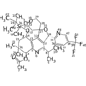 CC(=O)O[C@@H]1c2nc(C(C)C)c3c(c2C(O[Si](C)(C)C(C)(C)C)CC1(C)C)C1(CCOCC1)O[C@@H]3c1ccc(C(F)(F)F)cn1